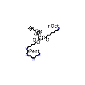 CCCCC/C=C\C/C=C\C/C=C\C/C=C\CCCC(=O)O[C@H](COC(=O)CCCCC/C=C\CCCCCCCC)COP(=O)([O-])OCC[N+](C)(C)C